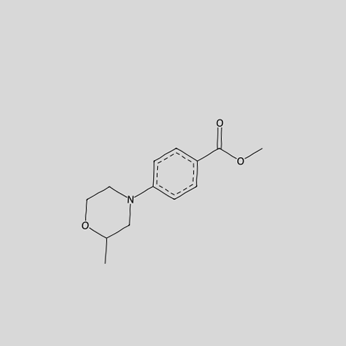 COC(=O)c1ccc(N2CCOC(C)C2)cc1